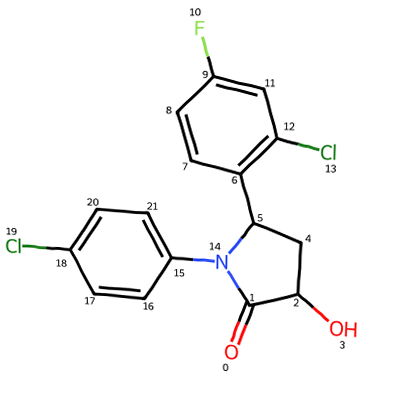 O=C1C(O)CC(c2ccc(F)cc2Cl)N1c1ccc(Cl)cc1